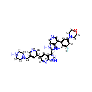 Fc1cc(-c2cncc3c2NC(c2n[nH]c4ncc(-c5cncc(CN6CCNCC6)c5)cc24)N3)cc(N2CCOCC2)c1